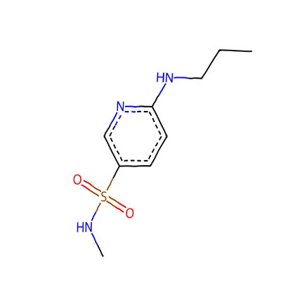 CCCNc1ccc(S(=O)(=O)NC)cn1